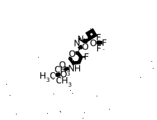 CC(C)(C)OC(=O)N[C@H]1CO[C@H](c2nnc(C3(OC(F)(F)F)CCC3)o2)[C@@H](F)C1